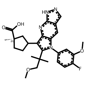 COCC(C)(C)c1c(C2CC[C@@](C)(C(=O)O)C2)c2nc3[nH]ncc3cc2n1-c1ccc(F)c(OC)c1